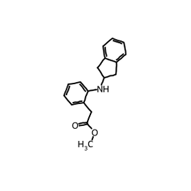 COC(=O)Cc1ccccc1NC1Cc2ccccc2C1